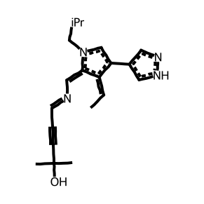 C/C=c1/c(-c2cn[nH]c2)cn(CC(C)C)/c1=C/N=C/C#CC(C)(C)O